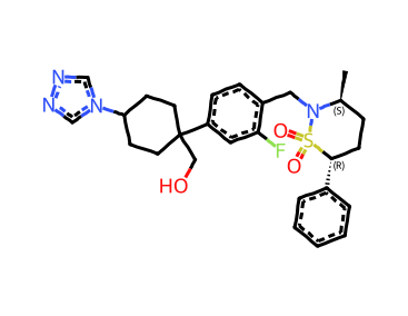 C[C@H]1CC[C@H](c2ccccc2)S(=O)(=O)N1Cc1ccc(C2(CO)CCC(n3cnnc3)CC2)cc1F